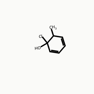 CC1C=CC=CC1(O)Cl